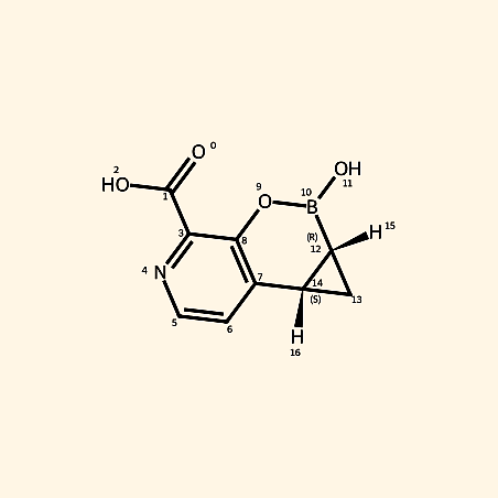 O=C(O)c1nccc2c1OB(O)[C@@H]1C[C@H]21